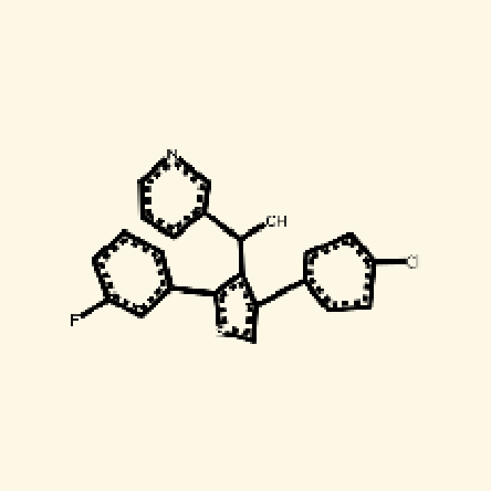 OC(c1cccnc1)c1c(-c2ccc(Cl)cc2)csc1-c1cccc(F)c1